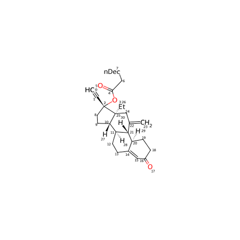 C#C[C@]1(OC(=O)CCCCCCCCCCC)CC[C@H]2[C@@H]3CCC4=CC(=O)CC[C@@H]4[C@H]3C(=C)C[C@@]21CC